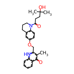 Cc1c(COc2ccc3c(c2)CCCN3C(=O)CCC(C)(C)O)[nH]c2ccccc2c1=O